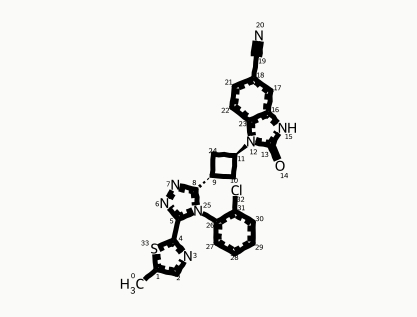 Cc1cnc(-c2nnc([C@H]3C[C@H](n4c(=O)[nH]c5cc(C#N)ccc54)C3)n2-c2ccccc2Cl)s1